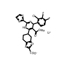 COC(=O)C1=C(C2CCc3nc(C(=O)[O-])oc3C2)NC(c2nccs2)=NC1c1ccc(F)c(F)c1Cl.[Li+]